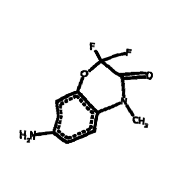 CN1C(=O)C(F)(F)Oc2cc(N)ccc21